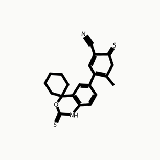 CC1=C(c2ccc3c(c2)C2(CCCCC2)OC(=S)N3)C=C(C#N)C(=S)C1